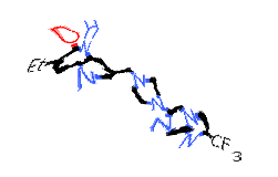 CCc1cc2ncc(CN3CCN(c4cn5cc(C(F)(F)F)nc5cn4)CC3)cc2[nH]c1=O